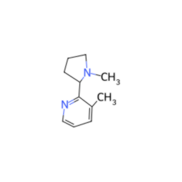 Cc1cccnc1C1CCCN1C